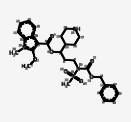 COc1c(C(=O)OC(CCN(C(=O)OCc2ccccc2)S(C)(=O)=O)C2CCNCC2)c2ccccc2n1C